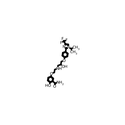 CC(C)n1cc(C(F)(F)F)nc1-c1ccc(OCC(O)CNCCOc2ccc(O)c(C(N)=O)c2)cc1